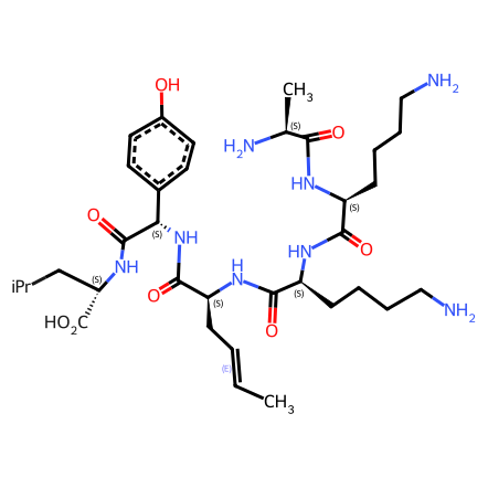 C/C=C/C[C@H](NC(=O)[C@H](CCCCN)NC(=O)[C@H](CCCCN)NC(=O)[C@H](C)N)C(=O)N[C@H](C(=O)N[C@@H](CC(C)C)C(=O)O)c1ccc(O)cc1